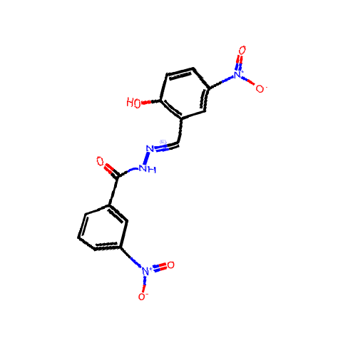 O=C(N/N=C/c1cc([N+](=O)[O-])ccc1O)c1cccc([N+](=O)[O-])c1